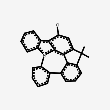 CC1(C)c2cccc3c2-c2c1cc(Cl)c1c4ccccc4n(c21)-c1ccccc1-3